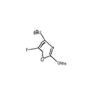 COc1nc(C(C)(C)C)c(F)o1